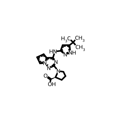 CC(C)(C)c1cc(Nc2nc(N3CCC[C@H]3C(=O)O)nn3cccc23)n[nH]1